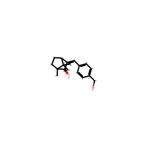 CC12CCC(/C(=C/c3ccc(CBr)cc3)C1=O)C2(C)C